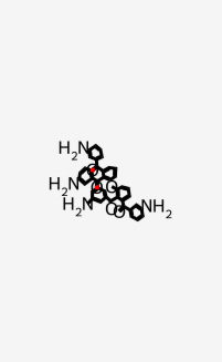 Nc1cccc(C(=O)c2cccc(Oc3cccc(C(=O)c4cccc(N)c4)c3C(=O)c3cccc(N)c3)c2C(=O)c2cccc(N)c2)c1